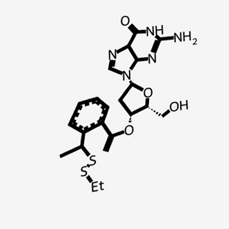 C=C(O[C@@H]1C[C@H](N2C=NC3C(=O)NC(N)=NC32)O[C@@H]1CO)c1ccccc1C(C)SSCC